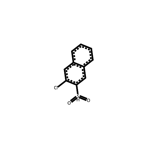 O=[SH](=O)c1cc2ccccc2cc1Cl